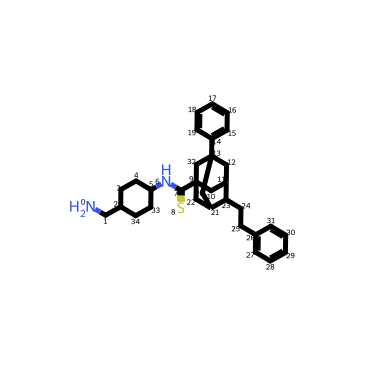 NCC1CCC(NC(=S)C23CC4CC(c5ccccc5)(CC(C2)C4CCc2ccccc2)C3)CC1